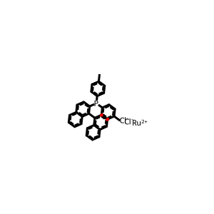 Cc1ccc(P(c2ccc(C)cc2)c2ccc3ccccc3c2-c2cccc3ccccc23)cc1.[Cl-].[Cl-].[Ru+2]